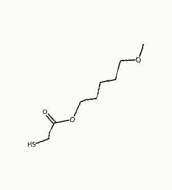 COCCCCCOC(=O)CS